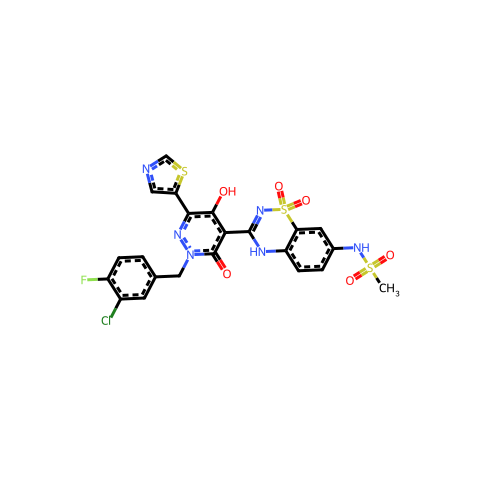 CS(=O)(=O)Nc1ccc2c(c1)S(=O)(=O)N=C(c1c(O)c(-c3cncs3)nn(Cc3ccc(F)c(Cl)c3)c1=O)N2